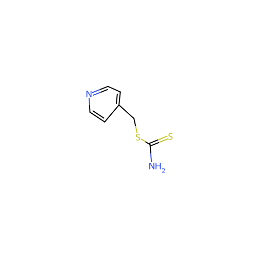 NC(=S)SCc1ccncc1